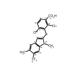 Cc1cc2cc(Cc3c(Cl)ccc(C(=O)O)c3Cl)n(C)c2cc1C(F)(F)F